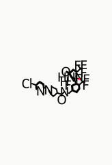 O=C(NCc1ccc(C(F)(F)F)c(-c2nc(C(F)(F)F)cc(=O)[nH]2)c1F)C1CCN(c2ccc(Cl)cn2)CC1